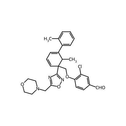 Cc1ccccc1C1=CC=CC(COc2ccc(C=O)cc2Cl)(c2noc(CN3CCOCC3)n2)C1C